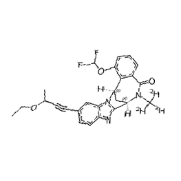 [2H]C([2H])([2H])N1C(=O)c2cccc(OC(F)F)c2[C@H]2C[C@@H]1c1nc3ccc(C#CC(C)OCC)cc3n12